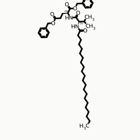 CCCCCCCCCCCCCCCCCCCCCC(=O)N[C@H](C(=O)N[C@@H](CCC(=O)OCc1ccccc1)C(=O)OCc1ccccc1)C(C)C